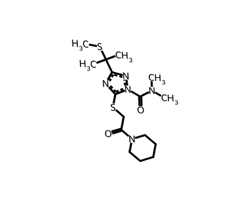 CSC(C)(C)c1nc(SCC(=O)N2CCCCC2)n(C(=O)N(C)C)n1